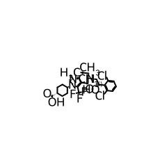 CC(C)(C)CN(C[C@@H](O)c1c(Cl)cccc1Cl)C(=O)c1cnn([C@H]2CC[C@H](C(=O)O)CC2)c1C(F)(F)F